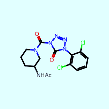 CC(=O)NC1CCCN(C(=O)n2nnn(-c3c(Cl)cccc3Cl)c2=O)C1